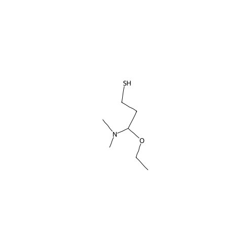 CCOC(CCS)N(C)C